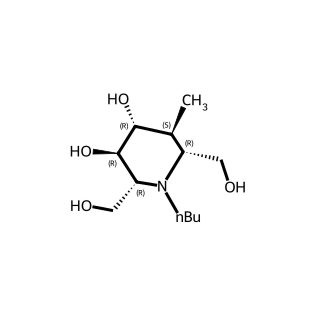 CCCCN1[C@H](CO)[C@@H](O)[C@H](O)[C@@H](C)[C@@H]1CO